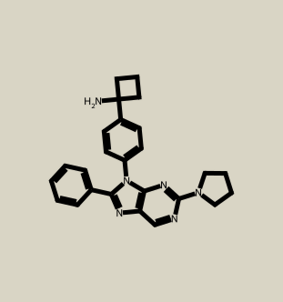 NC1(c2ccc(-n3c(-c4ccccc4)nc4cnc(N5CCCC5)nc43)cc2)CCC1